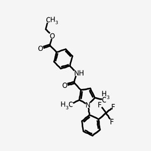 CCOC(=O)c1ccc(NC(=O)c2cc(C)n(-c3ccccc3C(F)(F)F)c2C)cc1